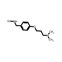 CCNCc1ccc(OCCCN(C)C)cc1